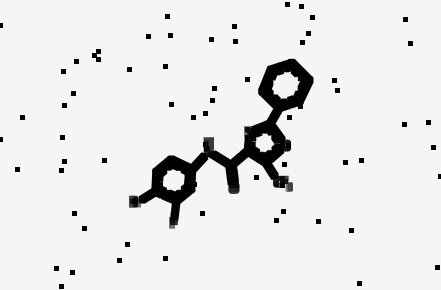 O=C(Nc1ccc(Br)c(F)c1)c1nc(-c2ccccc2)oc1C(F)(F)F